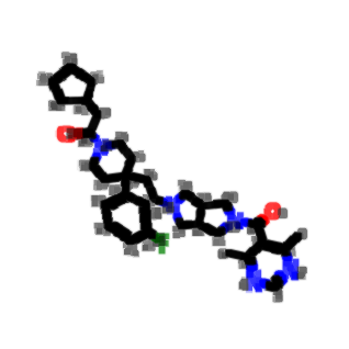 Cc1ncnc(C)c1C(=O)N1CC2CN(CCC3(c4cccc(F)c4)CCN(C(=O)CC4CCCC4)CC3)CC2C1